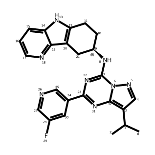 CC(C)c1cnn2c(N[C@@H]3CCc4[nH]c5cccnc5c4C3)nc(-c3cncc(F)c3)nc12